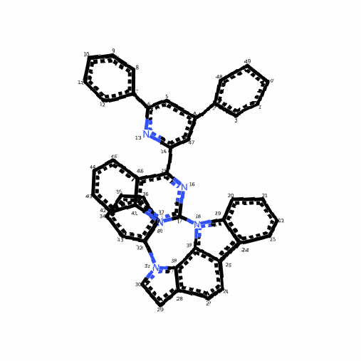 c1ccc(-c2cc(-c3ccccc3)nc(-c3nc(-n4c5ccccc5c5ccc6ccn(-c7ccccc7)c6c54)nc4ccccc34)c2)cc1